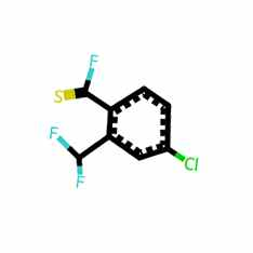 FC(=S)c1ccc(Cl)cc1C(F)F